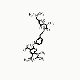 CCc1nc(C(N)=O)c(Nc2cccc(CCNC(=O)[C@@H](C)N(C)C(=O)/C=C/CN(C)C)c2)nc1N(C)C(C)C